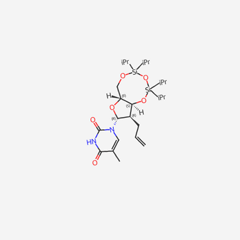 C=CC[C@@H]1[C@@H]2O[Si](C(C)C)(C(C)C)O[Si](C(C)C)(C(C)C)OC[C@H]2O[C@H]1n1cc(C)c(=O)[nH]c1=O